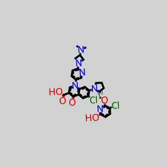 CN(C)C1CN(c2ccc(-n3cc(C(=O)O)c(=O)c4cc(Cl)c(N5CCC[C@@H]5COc5nc(O)ccc5Cl)cc43)cn2)C1